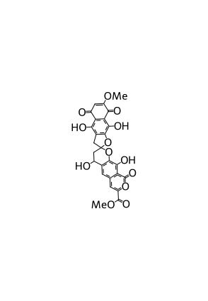 COC(=O)c1cc2cc3c(c(O)c2c(=O)o1)OC1(Cc2c(O)c4c(c(O)c2O1)C(=O)C(OC)=CC4=O)CC3O